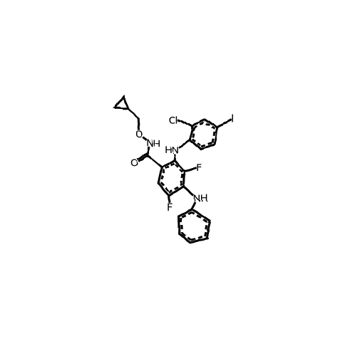 O=C(NOCC1CC1)c1cc(F)c(Nc2ccccc2)c(F)c1Nc1ccc(I)cc1Cl